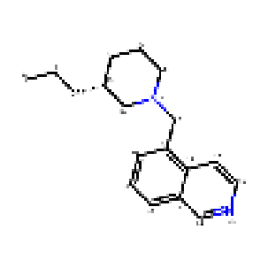 CCC[C@@H]1CCCN(Cc2cccc3cnccc23)C1